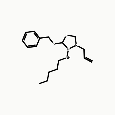 C=CCN1CSC(SCc2ccccc2)N1NCCCCC